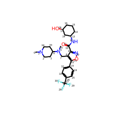 CN1CCC(N(C)Cc2c(C(=O)N[C@@H]3CCC[C@H](O)C3)noc2-c2ccc(C(F)(F)F)cc2)CC1